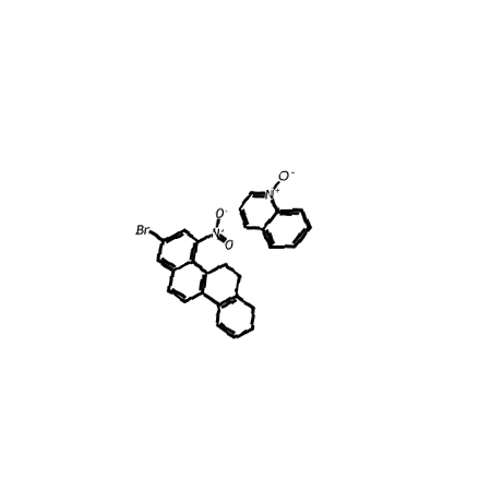 O=[N+]([O-])c1cc(Br)cc2ccc3c(c12)CCC1=C3C=CCC1.[O-][n+]1cccc2ccccc21